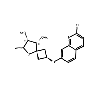 CC(=O)O[C@H]1C(C)O[C@]2(C[C@H](Oc3ccc4ccc(Cl)nc4c3)C2)[C@H]1OC(C)=O